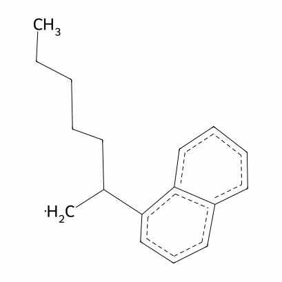 [CH2]C(CCCCC)c1cccc2ccccc12